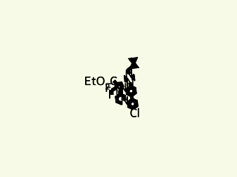 CCOC(=O)c1cnn(C2CCCN(c3cc(Cl)ccc3-c3ccc(N4CCN(CC5CC56CC6)CC4)cc3)C2)c1C(F)F